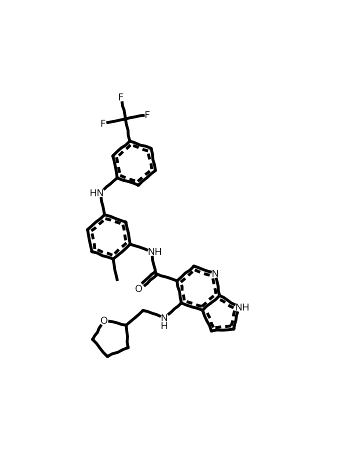 Cc1ccc(Nc2cccc(C(F)(F)F)c2)cc1NC(=O)c1cnc2[nH]ccc2c1NCC1CCCO1